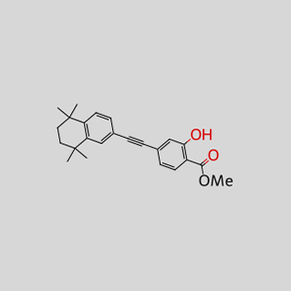 COC(=O)c1ccc(C#Cc2ccc3c(c2)C(C)(C)CCC3(C)C)cc1O